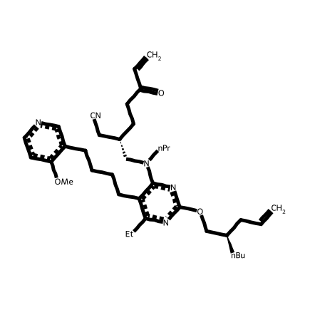 C=CC[C@@H](CCCC)COc1nc(CC)c(CCCCc2cnccc2OC)c(N(CCC)C[C@H](CC#N)CCC(=O)C=C)n1